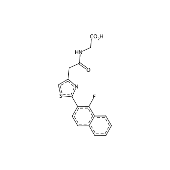 O=C(O)CNC(=O)Cc1csc(-c2ccc3ccccc3c2F)n1